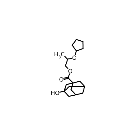 CC(COC(=O)C12CC3CC(CC(O)(C3)C1)C2)OC1CCCC1